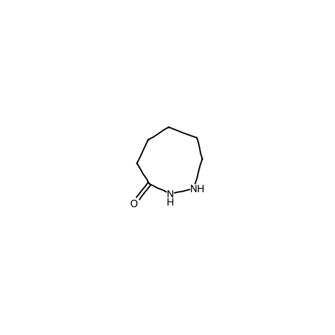 O=C1CCCCCNN1